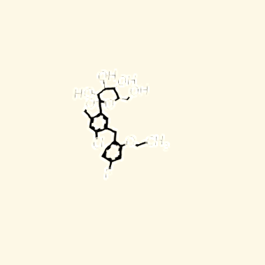 CCOc1cc(F)ccc1Cc1cc2c(cc1Cl)CO[C@]21O[C@H](CO)[C@@H](O)[C@H](O)[C@H]1O